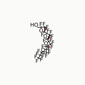 OCC(F)(OC(F)(F)C(F)(OC(F)(F)C(F)(OC(F)(F)C(F)(OC(F)(F)C(F)(F)C(F)(F)F)C(F)(F)F)C(F)(F)F)C(F)(F)F)C(F)(F)F